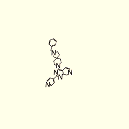 c1ccc(CN2CCC3(CCN(c4nc(-c5ccncc5)nc5cnccc45)CC3)C2)cc1